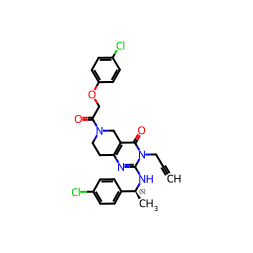 C#CCn1c(N[C@@H](C)c2ccc(Cl)cc2)nc2c(c1=O)CN(C(=O)COc1ccc(Cl)cc1)CC2